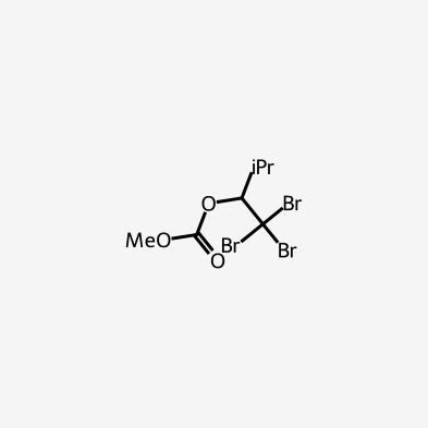 COC(=O)OC(C(C)C)C(Br)(Br)Br